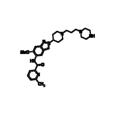 COc1cc2nn(C3CCN(CCCN4CCNCC4)CC3)cc2cc1NC(=O)c1cccc(C)n1